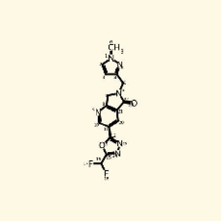 Cn1ccc(CN2Cc3ncc(-c4nnc(C(F)F)o4)cc3C2=O)n1